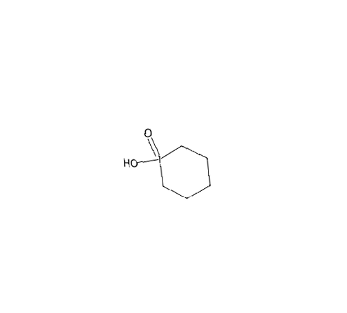 O=I1(O)CCCCC1